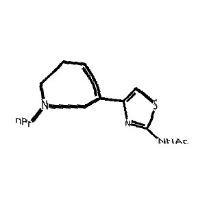 CCCN1CCC=C(c2csc(NC(C)=O)n2)C1